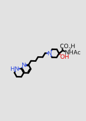 CC(=O)NC(C(=O)O)C1(O)CCN(CCCCCc2ccc3c(n2)NCCC3)CC1